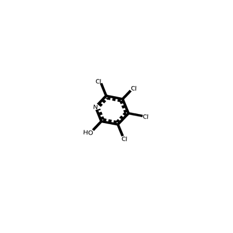 Oc1nc(Cl)c(Cl)c(Cl)c1Cl